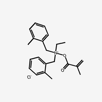 C=C(C)C(=O)O[N+](CC)(Cc1ccccc1C)Cc1ccccc1C.[Cl-]